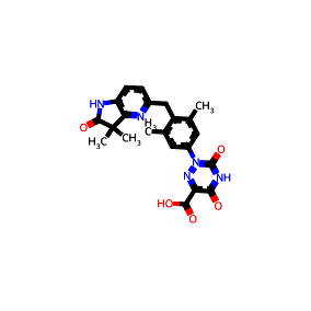 Cc1cc(-n2nc(C(=O)O)c(=O)[nH]c2=O)cc(C)c1Cc1ccc2c(n1)C(C)(C)C(=O)N2